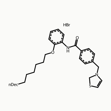 Br.CCCCCCCCCCCCCCCCOc1ccccc1NC(=O)c1ccc(CN2C=CSC2)cc1